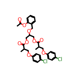 CC(=O)Oc1ccccc1COC(COC(=O)C(C)COc1ccc(Cl)cc1)COC(=O)C(C)COc1ccc(Cl)cc1